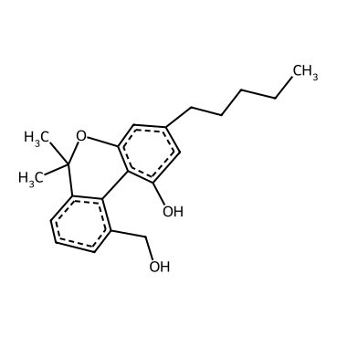 CCCCCc1cc(O)c2c(c1)OC(C)(C)c1cccc(CO)c1-2